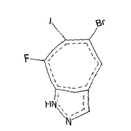 Fc1c(I)c(Br)cc2cn[nH]c12